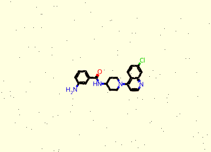 Nc1cccc(C(=O)NC2CCN(c3ccnc4cc(Cl)ccc34)CC2)c1